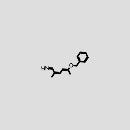 C/C(C=N)=C/C=C(\C)OCc1ccccc1